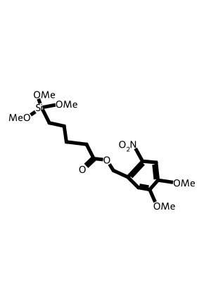 COc1cc(COC(=O)CCCC[Si](OC)(OC)OC)c([N+](=O)[O-])cc1OC